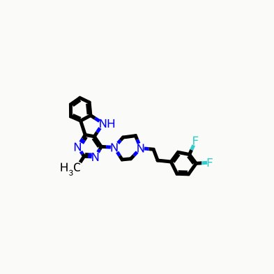 Cc1nc(N2CCN(CCc3ccc(F)c(F)c3)CC2)c2[nH]c3ccccc3c2n1